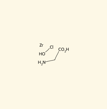 NCC(=O)O.OCl.[Zr]